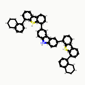 c1cc2c(c(-c3cccc4c3sc3c(-c5ccc6[nH]c7ccc(-c8cccc9c8sc8c(-c%10cccc%11c%10CCCC%11)cccc89)cc7c6c5)cccc34)c1)CCCC2